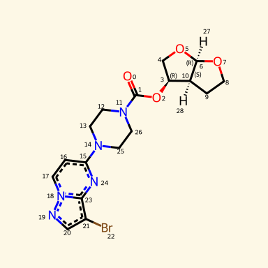 O=C(O[C@H]1CO[C@H]2OCC[C@H]21)N1CCN(c2ccn3ncc(Br)c3n2)CC1